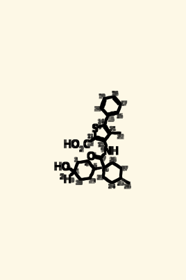 [2H]C1(O)CCC([C@]2(C(=O)Nc3c(C(=O)O)sc(-c4ccccc4)c3C)CC[C@H](C)CC2)CC1